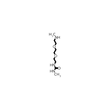 CNCCOCCOCCNC(=O)NC